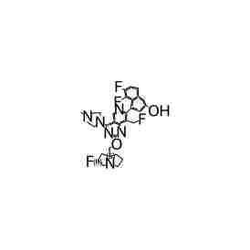 CN1CCN(c2nc(OC[C@@]34CCCN3C[C@H](F)C4)nc3c(CF)c(-c4cc(O)cc5ccc(F)c(F)c45)ncc23)CC1